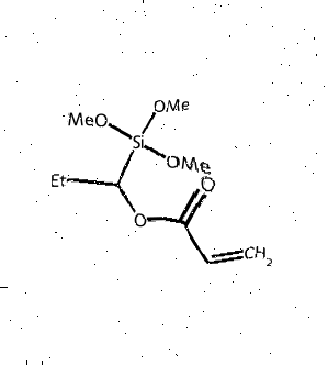 C=CC(=O)OC(CC)[Si](OC)(OC)OC